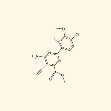 C#Cc1c(N)nc(-c2ccc(Cl)c(OC)c2F)nc1C(=O)OC